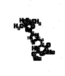 COC(=O)[C@H](Cc1nc(B2OC(C)(C)C(C)(C)O2)cs1)NC(=O)OC(C)(C)C